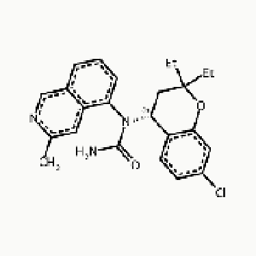 CCC1(CC)C[C@@H](N(C(N)=O)c2cccc3cnc(C)cc23)c2ccc(Cl)cc2O1